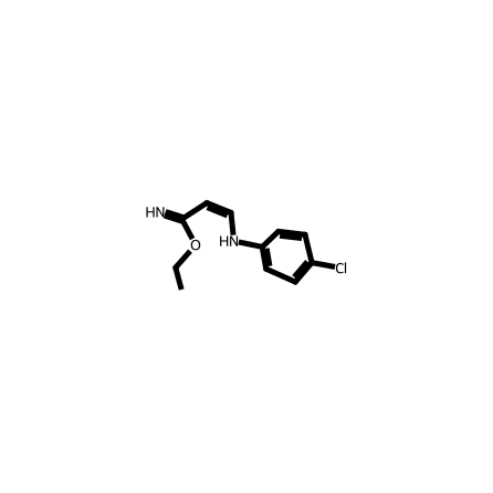 CCOC(=N)/C=C\Nc1ccc(Cl)cc1